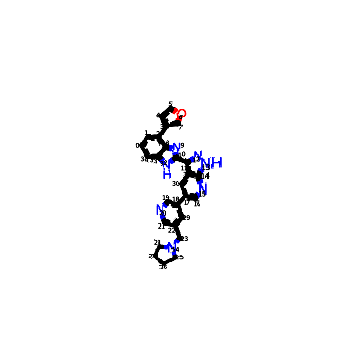 c1cc(-c2ccoc2)c2nc(-c3n[nH]c4ncc(-c5cncc(CN6CCCC6)c5)cc34)[nH]c2c1